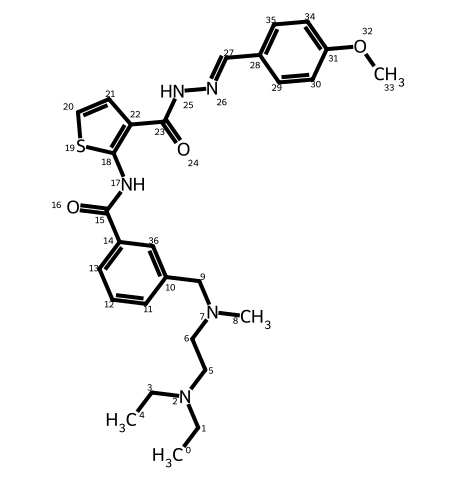 CCN(CC)CCN(C)Cc1cccc(C(=O)Nc2sccc2C(=O)N/N=C/c2ccc(OC)cc2)c1